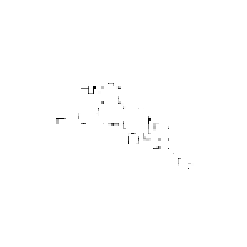 COc1cc(C)c2[nH]ccc2c1CN1CCC(C2CC2)CC1